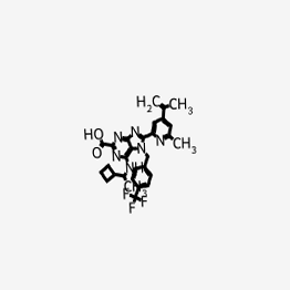 C=C(C)c1cc(C)nc(-c2nc3nc(C(=O)O)nc(NC(C)C4CCC4)c3n2Cc2ccc(C(F)(F)F)cc2)c1